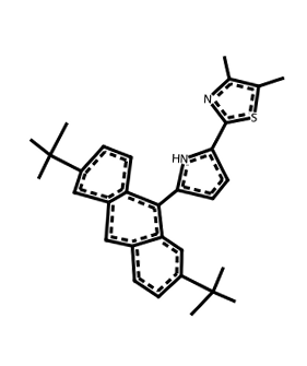 Cc1nc(-c2ccc(-c3c4ccc(C(C)(C)C)cc4cc4ccc(C(C)(C)C)cc34)[nH]2)sc1C